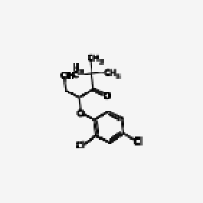 CC(C)(C)C(=O)C(CO)Oc1ccc(Cl)cc1Cl